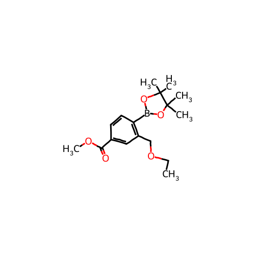 CCOCc1cc(C(=O)OC)ccc1B1OC(C)(C)C(C)(C)O1